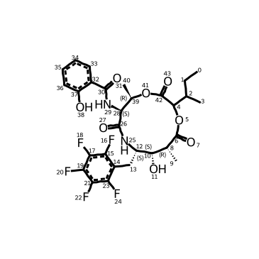 CCC(C)C1OC(=O)[C@H](C)[C@H](O)[C@H](Cc2c(F)c(F)c(F)c(F)c2F)NC(=O)[C@@H](NC(=O)c2ccccc2O)[C@@H](C)OC1=O